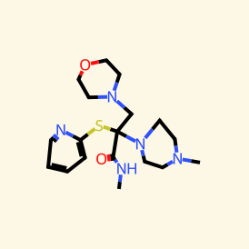 CNC(=O)C(CN1CCOCC1)(Sc1ccccn1)N1CCN(C)CC1